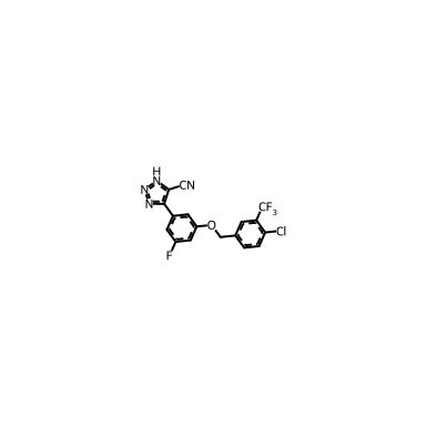 N#Cc1[nH]nnc1-c1cc(F)cc(OCc2ccc(Cl)c(C(F)(F)F)c2)c1